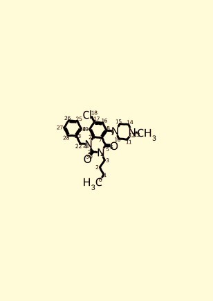 CCCCn1c(=O)c2c(N3CCN(C)CC3)cc(Cl)cc2n(Cc2ccccc2)c1=O